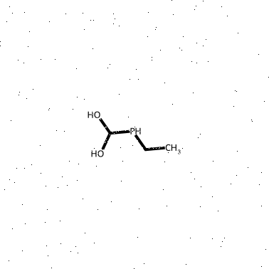 CCPC(O)O